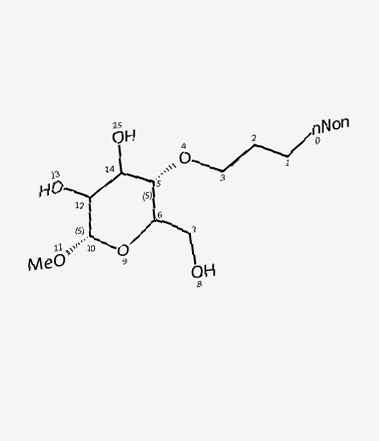 CCCCCCCCCCCCO[C@@H]1C(CO)O[C@H](OC)C(O)C1O